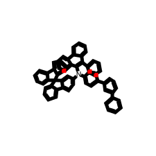 c1ccc(-c2cccc(-c3ccc(N(c4ccc5c(c4)C4(c6ccccc6-c6ccccc64)c4ccccc4-5)c4c(-c5ccccc5)c5ccccc5c5ccccc45)cc3)c2)cc1